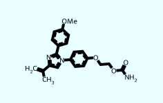 C=C(C)c1cn(-c2ccc(OCCOC(N)=O)cc2)c(-c2ccc(OC)cc2)n1